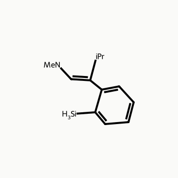 CNC=C(c1ccccc1[SiH3])C(C)C